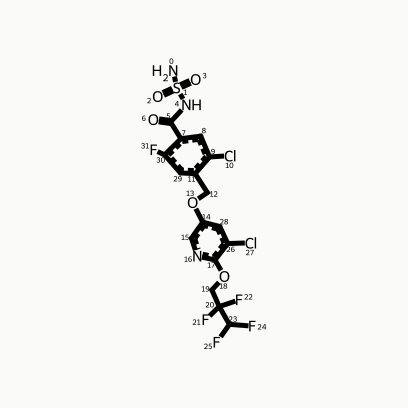 NS(=O)(=O)NC(=O)c1cc(Cl)c(COc2cnc(OCC(F)(F)C(F)F)c(Cl)c2)cc1F